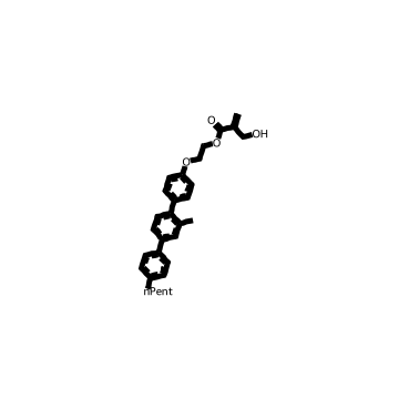 C=C(CO)C(=O)OCCOc1ccc(-c2ccc(-c3ccc(CCCCC)cc3)cc2C)cc1